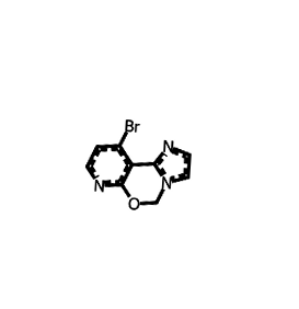 Brc1ccnc2c1-c1nccn1CO2